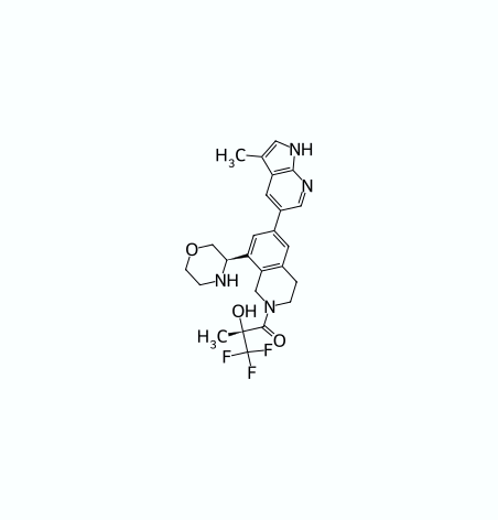 Cc1c[nH]c2ncc(-c3cc4c(c([C@@H]5COCCN5)c3)CN(C(=O)[C@@](C)(O)C(F)(F)F)CC4)cc12